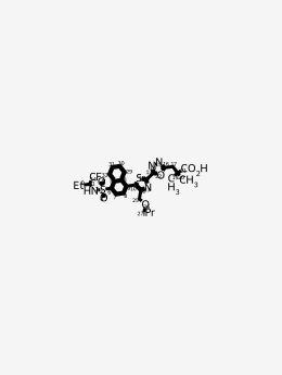 CCC(NS(=O)(=O)c1ccc(-c2sc(-c3nnc(CC(C)(C)C(=O)O)o3)nc2COC(C)C)c2ccccc12)C(F)(F)F